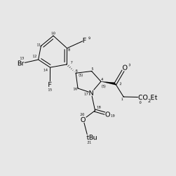 CCOC(=O)CC(=O)[C@@H]1C[C@@H](c2c(F)ccc(Br)c2F)CN1C(=O)OC(C)(C)C